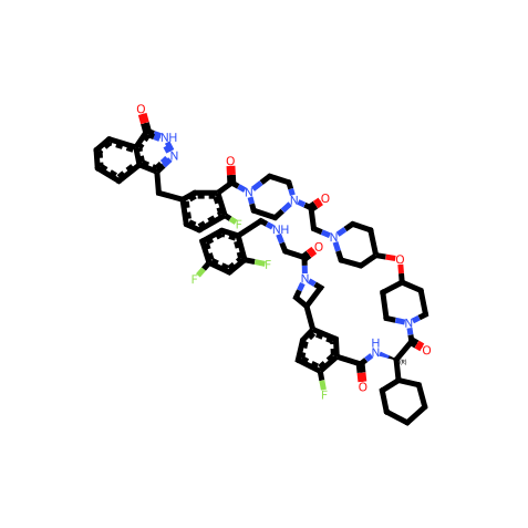 O=C(N[C@@H](C(=O)N1CCC(OC2CCN(CC(=O)N3CCN(C(=O)c4cc(Cc5n[nH]c(=O)c6ccccc56)ccc4F)CC3)CC2)CC1)C1CCCCC1)c1cc(C2CN(C(=O)CNCc3ccc(F)cc3F)C2)ccc1F